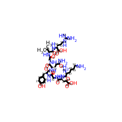 CC(C)[C@H](NC(=O)CNC(=O)[C@H](CCC(N)=O)NC(=O)[C@H](Cc1ccc(O)cc1)NC(=O)CNC(=O)[C@H](CCC(=O)O)NC(=O)[C@@H](N)CCCCN)C(=O)N[C@@H](CCCNC(=N)N)C(=O)O